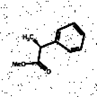 [CH2][C@H](C(=O)OC)c1ccccc1